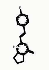 O=c1nc(/C=C/c2ccc(F)cc2)[nH]c2c1CCC2